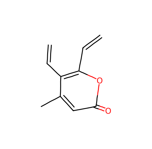 C=Cc1oc(=O)cc(C)c1C=C